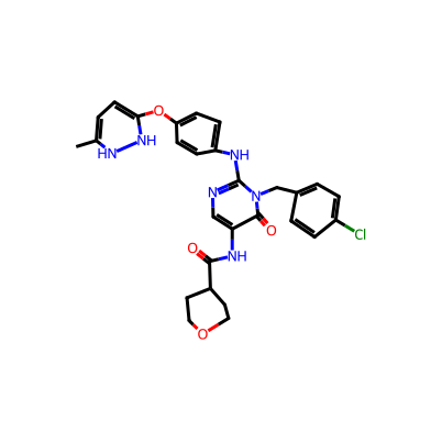 CC1=CC=C(Oc2ccc(Nc3ncc(NC(=O)C4CCOCC4)c(=O)n3Cc3ccc(Cl)cc3)cc2)NN1